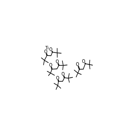 CC(C)(C)C(=O)CC(=O)C(C)(C)C.CC(C)(C)C(=O)CC(=O)C(C)(C)C.CC(C)(C)C(=O)CC(=O)C(C)(C)C.CC(C)(C)C(=O)CC(=O)C(C)(C)C.[Ti]